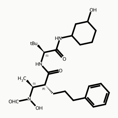 C[C@@H]([C@@H](CCCc1ccccc1)C(=O)N[C@H](C(=O)NC1CCCC(O)C1)C(C)(C)C)N(O)C=O